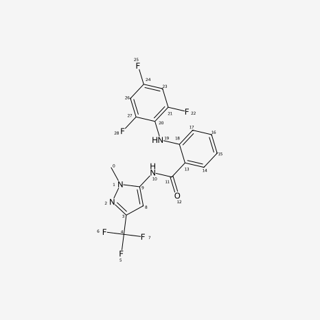 Cn1nc(C(F)(F)F)cc1NC(=O)c1ccccc1Nc1c(F)cc(F)cc1F